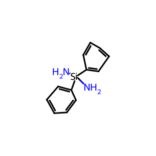 N[Si](N)(c1ccccc1)c1ccccc1